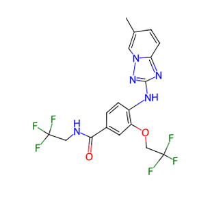 Cc1ccc2nc(Nc3ccc(C(=O)NCC(F)(F)F)cc3OCC(F)(F)F)nn2c1